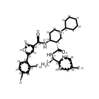 C[C@@H](NC(=O)[C@H]1CN(C2CCCCC2)CC[C@@H]1NC(=O)c1cc(-c2ccc(F)cc2F)on1)c1ncc(F)cn1